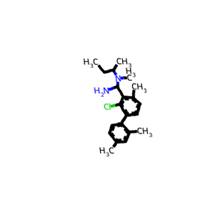 CCC(C)N(C)C(N)c1c(C)ccc(-c2ccc(C)cc2C)c1Cl